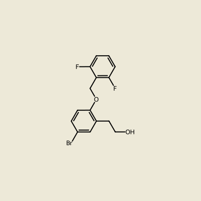 OCCc1cc(Br)ccc1OCc1c(F)cccc1F